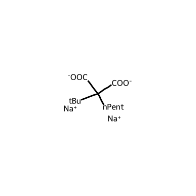 CCCCCC(C(=O)[O-])(C(=O)[O-])C(C)(C)C.[Na+].[Na+]